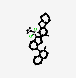 CCC1=Cc2c(-c3c(C)ccc4ccccc34)cccc2[CH]1[Zr]([Cl])([Cl])([c]1cccc2c1Cc1ccccc1-2)[SiH](C)C